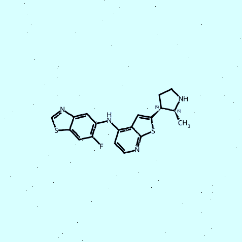 C[C@@H]1NCC[C@@H]1c1cc2c(Nc3cc4ncsc4cc3F)ccnc2s1